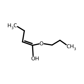 CCC=C(O)OCCC